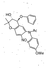 COc1ccc(N(C(C)=O)c2cc3c(cc2[N+](=O)[O-])OC(C)(C)[C@H](O)[C@H]3Oc2ccccc2)cc1